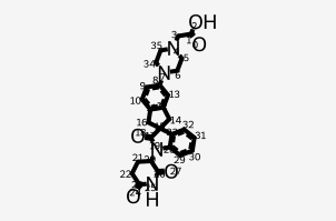 O=C(O)CN1CCN(c2ccc3c(c2)CC2(C3)C(=O)N(C3CCC(=O)NC3=O)c3ccccc32)CC1